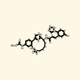 COC(=O)Nc1ccc2c(c1)NS(=O)(=O)CCCC[C@H](NC(=O)/C=C/c1cc(Cl)ccc1-n1cnnn1)c1nc-2c[nH]1